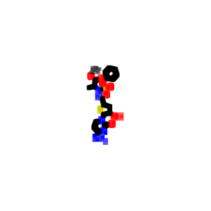 CC(C)OC(=O)C(C)NP(=O)(OCC1CC(O)C(n2ccc(N)nc2=O)S1)Oc1ccccc1